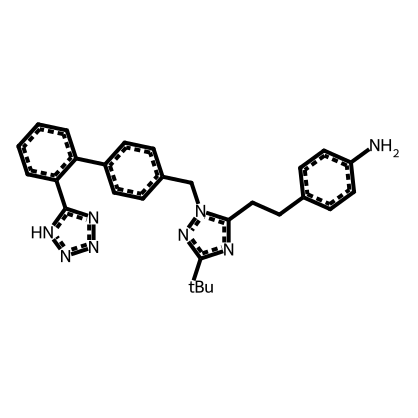 CC(C)(C)c1nc(CCc2ccc(N)cc2)n(Cc2ccc(-c3ccccc3-c3nnn[nH]3)cc2)n1